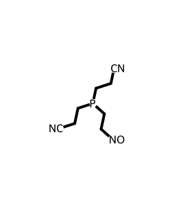 N#CCCP(CCC#N)CCN=O